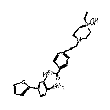 CC[P]1(O)CCN(CCc2ccc(C(=O)Nc3cc(-c4cccs4)ccc3N)cc2)CC1